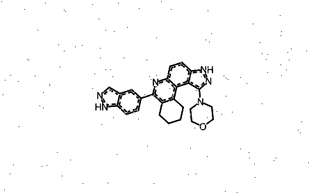 c1cc2[nH]ncc2cc1-c1nc2ccc3[nH]nc(N4CCOCC4)c3c2c2c1CCCC2